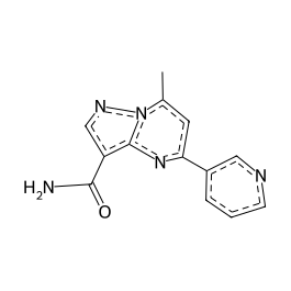 Cc1cc(-c2cccnc2)nc2c(C(N)=O)cnn12